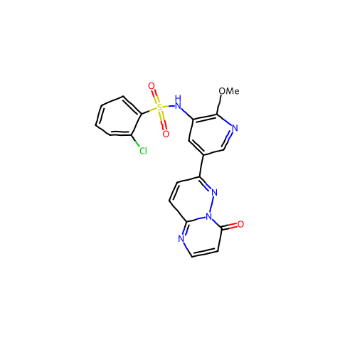 COc1ncc(-c2ccc3nccc(=O)n3n2)cc1NS(=O)(=O)c1ccccc1Cl